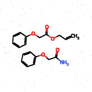 C=CCOC(=O)COc1ccccc1.NC(=O)COc1ccccc1